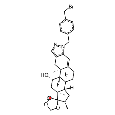 C[C@@H]1C[C@H]2[C@@H]3CCC4=Cc5c(cnn5Cc5ccc(CBr)cc5)C[C@]4(C)[C@@]3(F)[C@@H](O)C[C@]2(C)[C@]12OCOC21COCO1